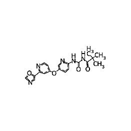 CC(C)(C)C(=O)NC(=O)Nc1ccc(Oc2ccnc(-c3cnco3)c2)cn1